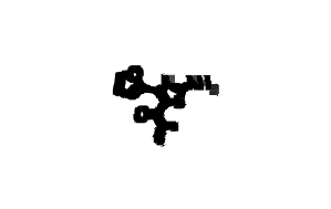 CC(C)C(=O)c1sc(N)nc1-c1ccco1